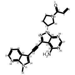 C=CC(=O)N1CC[C@@H](n2nc(C#Cc3cn(C)c4ncccc34)c3c(N)ncnc32)C1